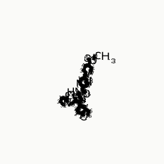 CCOC(=O)C1CCN(c2cnc(C(=O)Nc3nc(-c4ccc5c(c4)CCO5)c(CN4CCC[C@H]4C)s3)cn2)CC1